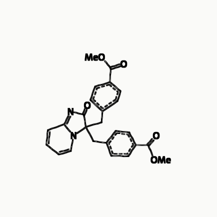 COC(=O)c1ccc(CC2(Cc3ccc(C(=O)OC)cc3)C(=O)N=C3C=CC=CN32)cc1